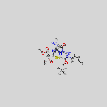 C=C/C=C\C(=C)N(COCC[Si](C)(C)C)Nn1c(=O)c(NC)c(/N=C(\S)C(C(=O)OC)C(=O)OC)n1C